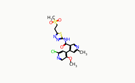 COc1cnc(Cl)cc1-c1cc(C)ncc1C(=O)Nc1nnc(CCS(C)(=O)=O)s1